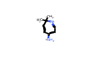 CC1(C)C=CC(N)=CC=N1